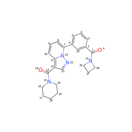 O=C(c1cccc(-c2cccc3c(C(=O)N4CCCCC4)cnn23)c1)N1CCC1